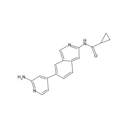 Nc1cc(-c2ccc3cc(NC(=O)C4CC4)ncc3c2)ccn1